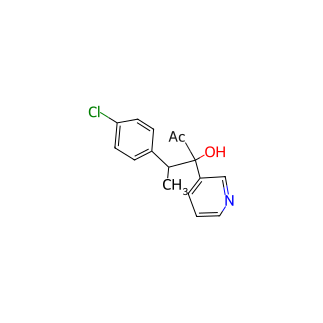 CC(=O)C(O)(c1cccnc1)C(C)c1ccc(Cl)cc1